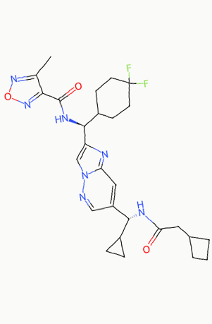 Cc1nonc1C(=O)N[C@H](c1cn2ncc([C@H](NC(=O)CC3CCC3)C3CC3)cc2n1)C1CCC(F)(F)CC1